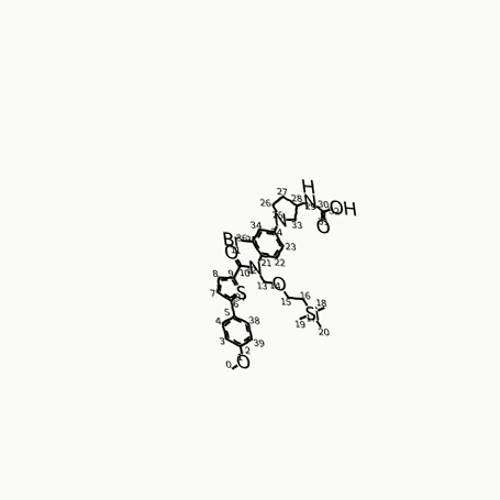 COc1ccc(-c2ccc(C(=O)N(COCC[Si](C)(C)C)c3ccc(N4CCC(NC(=O)O)C4)cc3Br)s2)cc1